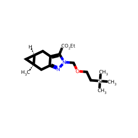 CCOC(=O)c1c2c(nn1COCC[Si](C)(C)C)C[C@@]1(C)C[C@H]1C2